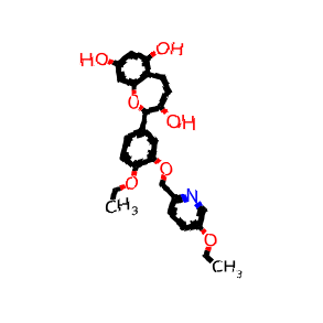 CCOc1ccc(COc2cc(C3Oc4cc(O)cc(O)c4CCC3O)ccc2OCC)nc1